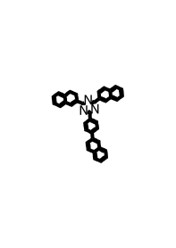 C1=C(c2nc(-c3ccc(-c4ccc5ccccc5c4)cc3)nc(-c3ccc4ccccc4c3)n2)CCc2ccccc21